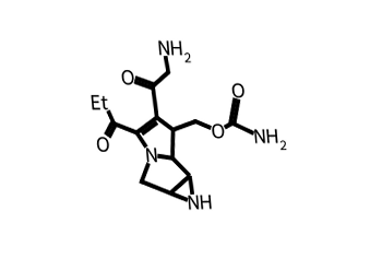 CCC(=O)C1=C(C(=O)CN)C(COC(N)=O)C2C3NC3CN12